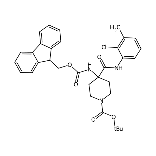 Cc1cccc(NC(=O)C2(NC(=O)OCC3c4ccccc4-c4ccccc43)CCN(C(=O)OC(C)(C)C)CC2)c1Cl